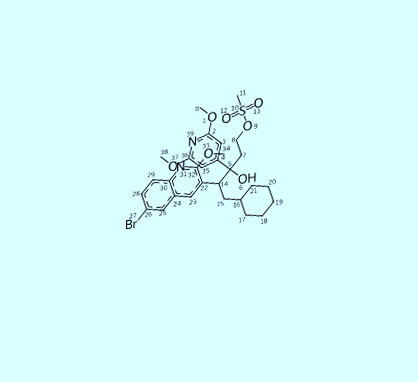 COc1cc(C(O)(CCOS(C)(=O)=O)C(CC2CCCCC2)c2cc3cc(Br)ccc3nc2OC)cc(OC)n1